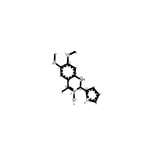 COc1cc2c(cc1OC)C(C)=[N+]([O-])C(c1ccco1)N2